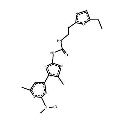 CCc1cnc(CCNC(=O)Nc2nc(C)c(-c3cc(C)nc([S+](C)[O-])n3)s2)o1